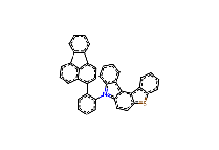 c1ccc2c(c1)-c1cccc3c(-c4ccccc4-n4c5ccccc5c5c6c(ccc54)sc4ccccc46)ccc-2c13